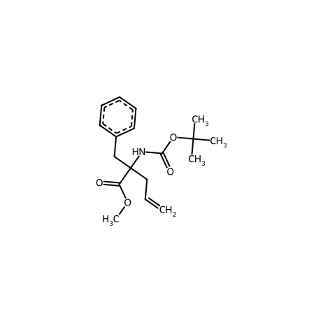 C=CCC(Cc1ccccc1)(NC(=O)OC(C)(C)C)C(=O)OC